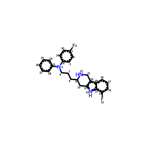 Fc1ccc(N(CCCC2Cc3[nH]c4c(F)cccc4c3CN2)c2ccccc2)cc1